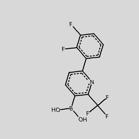 OB(O)c1ccc(-c2cccc(F)c2F)nc1C(F)(F)F